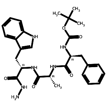 C[C@@H](NC(=O)[C@H](Cc1ccccc1)NC(=O)OC(C)(C)C)C(=O)N[C@@H](Cc1c[nH]c2ccccc12)C(=O)NN